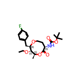 CCO[C@H]1[C@H](C)OC(=O)[C@@H](NC(=O)OC(C)(C)C)CCO[C@@H]1Cc1ccc(F)cc1